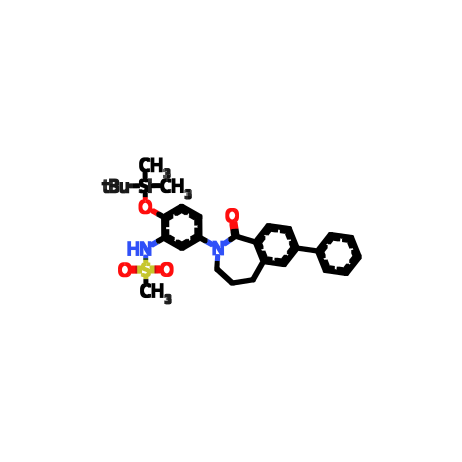 CC(C)(C)[Si](C)(C)Oc1ccc(N2CCCc3cc(-c4ccccc4)ccc3C2=O)cc1NS(C)(=O)=O